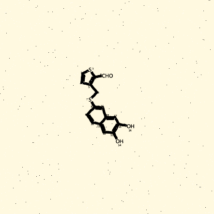 O=Cc1sccc1CSc1ccc2cc(O)c(O)cc2c1